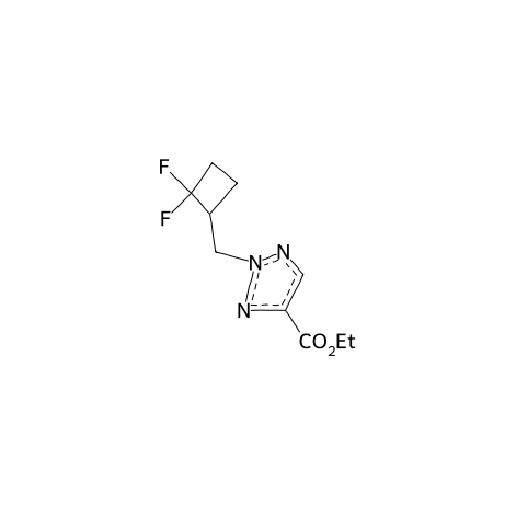 CCOC(=O)c1cnn(CC2CCC2(F)F)n1